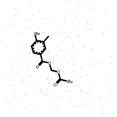 Cc1cc(C(=O)OCOC(=O)C(C)(C)C)ccc1C(C)(C)C